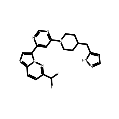 FC(F)c1ccc2ncc(-c3cc(N4CCC(Cc5ccn[nH]5)CC4)ncn3)n2n1